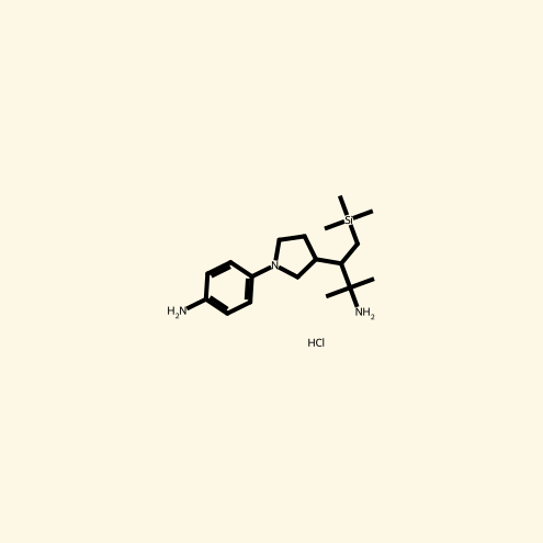 CC(C)(N)C(C[Si](C)(C)C)C1CCN(c2ccc(N)cc2)C1.Cl